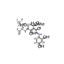 C=C(C)C(CC=C(C)C)Cc1c(O)cc(OC)c(C(=O)/C=C/c2ccc(O)cc2O)c1O.O